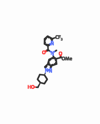 COC(=O)c1cc2nn([C@H]3CC[C@H](CO)CC3)cc2cc1N(C)C(=O)c1cccc(C(F)(F)F)n1